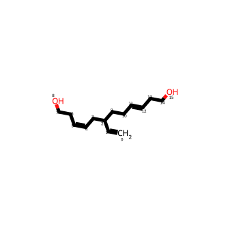 C=CC(C/C=C\CCO)CC/C=C/CCO